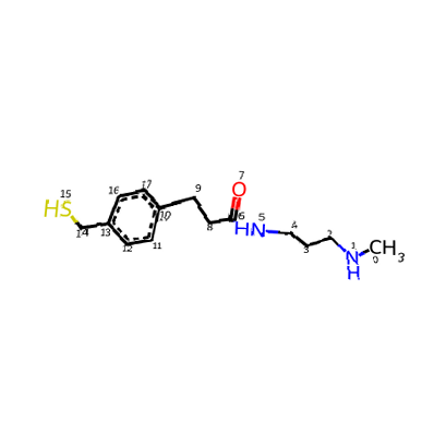 CNCCCNC(=O)CCc1ccc(CS)cc1